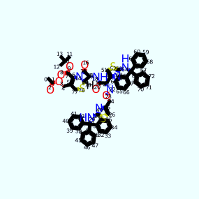 CC(=O)OCC1=C(C(=O)OC(C)(C)C)N2C(=O)[C@@H](NC(=O)/C(=N\OCc3csc(NC(c4ccccc4)(c4ccccc4)c4ccccc4)n3)c3csc(NC(c4ccccc4)(c4ccccc4)c4ccccc4)n3)[C@H]2SC1